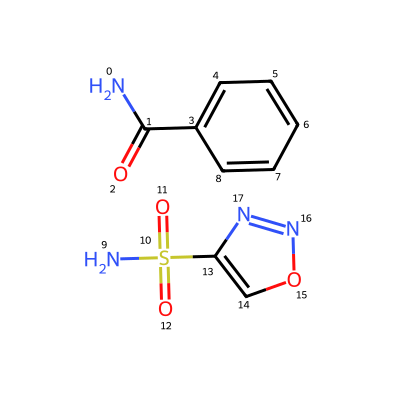 NC(=O)c1ccccc1.NS(=O)(=O)c1conn1